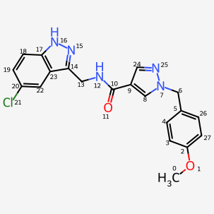 COc1ccc(Cn2cc(C(=O)NCc3n[nH]c4ccc(Cl)cc34)cn2)cc1